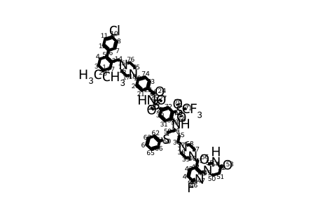 CC1(C)CCC(c2ccc(Cl)cc2)=C(CN2CCN(c3ccc(C(=O)NS(=O)(=O)c4ccc(N[C@H](CCN5CCN(Cc6ccc(F)nc6N6CCC(=O)NC6=O)CC5)CSc5ccccc5)c(S(=O)(=O)C(F)(F)F)c4)cc3)CC2)C1